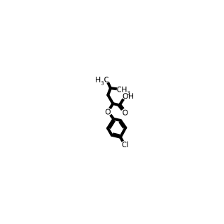 CC(C)CC(Oc1ccc(Cl)cc1)C(=O)O